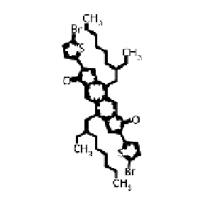 CCCCCCC(CC)Cc1c2cc3c(=O)c(-c4ccc(Br)s4)cc3c(CC(CC)CCCCCC)c2cc2c(=O)c(-c3ccc(Br)s3)cc12